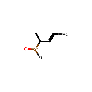 CC[S+]([O-])C(C)C=CC(C)=O